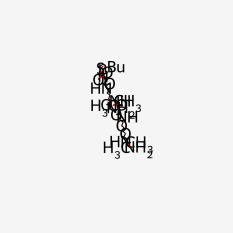 CCCCSC1CC(=O)N(CCC(=O)NCCCCC(NC(C)(C)C(=O)CCC(=O)NCCOCCOCCNC(C)(C)N)C(N)=O)C1=O